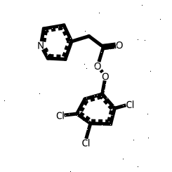 O=C(Cc1ccncc1)OOc1cc(Cl)c(Cl)cc1Cl